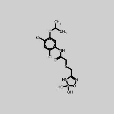 CC(C)Oc1cc(NC(=O)CSCC2=NOS(O)(O)N2)c(Cl)cc1Cl